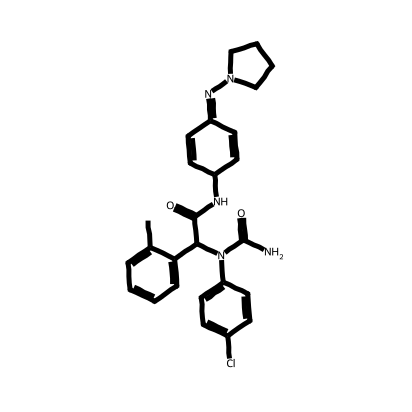 Cc1ccccc1C(C(=O)NC1C=CC(=NN2CCCC2)C=C1)N(C(N)=O)c1ccc(Cl)cc1